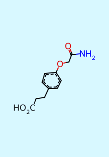 NC(=O)COc1ccc(CCC(=O)O)cc1